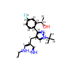 CCN/C=C(\C=N)Cc1cn(C(C)(C)C)nc1-c1ccc(F)cc1[C@@H](C)O